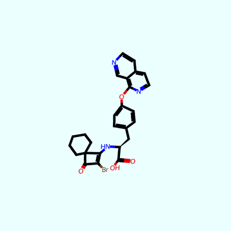 O=C(O)[C@H](Cc1ccc(Oc2nccc3ccncc23)cc1)NC1=C(Br)C(=O)C12CCCCC2